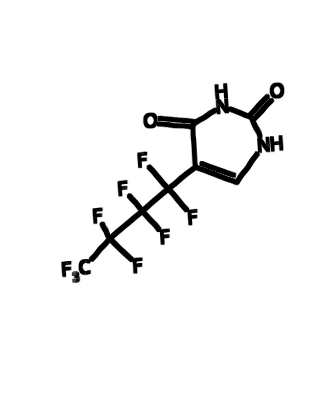 O=c1[nH]cc(C(F)(F)C(F)(F)C(F)(F)C(F)(F)F)c(=O)[nH]1